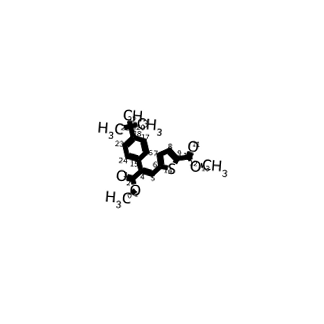 COC(=O)/C(=C/c1ccc(C(=O)OC)s1)c1ccc(C(C)(C)C)cc1